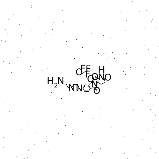 NCCCN1CCN(c2ccc3c(c2)C(=O)N(C2CCC(=O)NC2=O)C3=O)CC1.O=CC(F)(F)F